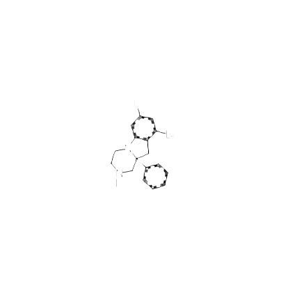 Fc1cc(Br)c2c(c1)N1CCNC[C@@]1(c1ccccc1)C2